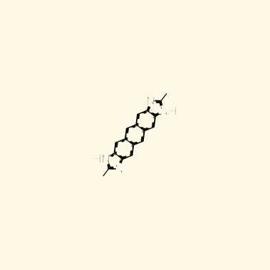 Cc1nc2cc3cc4cc5[nH]c(C)nc5cc4cc3cc2[nH]1